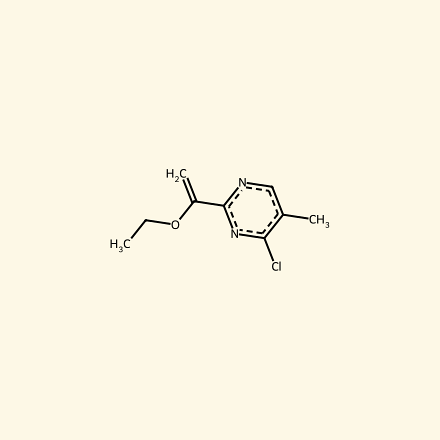 C=C(OCC)c1ncc(C)c(Cl)n1